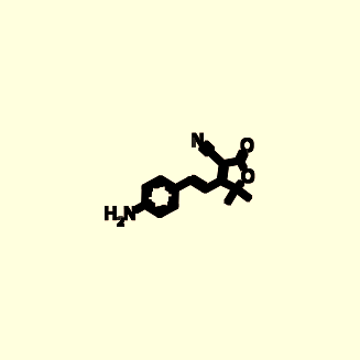 CC1(C)OC(=O)C(C#N)=C1/C=C/c1ccc(N)cc1